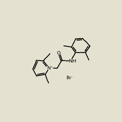 Cc1cccc(C)c1NC(=O)C[n+]1c(C)cccc1C.[Br-]